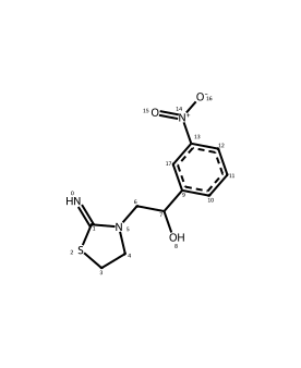 N=C1SCCN1CC(O)c1cccc([N+](=O)[O-])c1